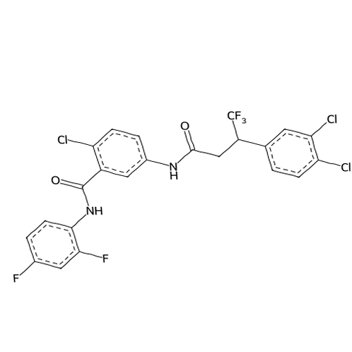 O=C(CC(c1ccc(Cl)c(Cl)c1)C(F)(F)F)Nc1ccc(Cl)c(C(=O)Nc2ccc(F)cc2F)c1